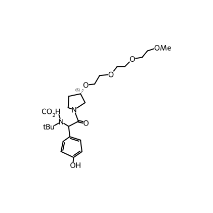 COCCOCCOCCO[C@H]1CCN(C(=O)C(c2ccc(O)cc2)N(C(=O)O)C(C)(C)C)C1